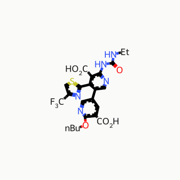 CCCCOc1ncc(-c2cnc(NC(=O)NCC)c(C(=O)O)c2-c2nc(C(F)(F)F)cs2)cc1C(=O)O